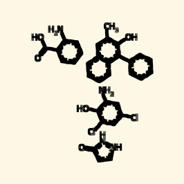 Cc1cc2ccccc2c(-c2ccccc2)c1O.Nc1cc(Cl)cc(Cl)c1O.Nc1ccccc1C(=O)O.O=c1cc[nH][nH]1